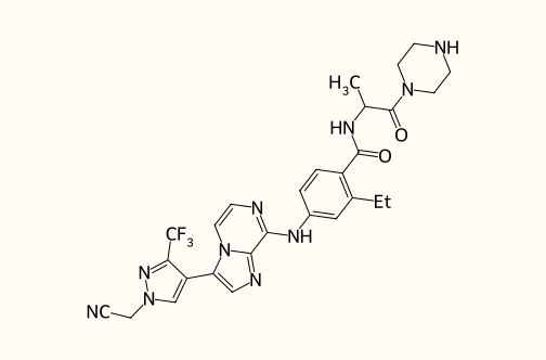 CCc1cc(Nc2nccn3c(-c4cn(CC#N)nc4C(F)(F)F)cnc23)ccc1C(=O)NC(C)C(=O)N1CCNCC1